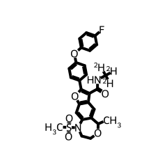 [2H]C([2H])([2H])NC(=O)c1c(-c2ccc(Oc3ccc(F)cc3)cc2)oc2cc3c(cc12)C(C)OCCN3S(C)(=O)=O